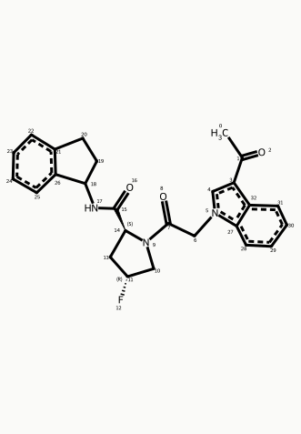 CC(=O)c1cn(CC(=O)N2C[C@H](F)C[C@H]2C(=O)NC2CCc3ccccc32)c2ccccc12